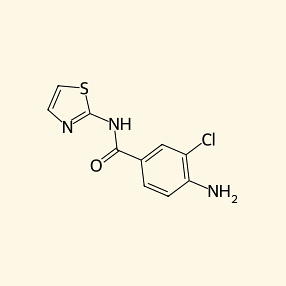 Nc1ccc(C(=O)Nc2nccs2)cc1Cl